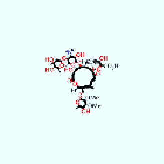 CC[C@H]1OC(=O)C[C@@H](O)[C@H](C)C(O[C@@H]2O[C@H](C)[C@@H](O[C@H]3C[C@@](C)(O)[C@@H](O)[C@H](C)O3)[C@H](N(C)C)[C@H]2O)[C@@H](CC=O)C[C@@H](C)C(=O)/C=C/C(C)=C/C1CO[C@@H]1O[C@H](C)[C@@H](O)[C@@H](OC)[C@H]1OC.O=C(O)C(O)C(O)C(=O)O